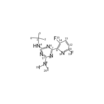 CC(C)(C)Nc1nc(-c2nc(F)ccc2F)nc(N(I)I)n1